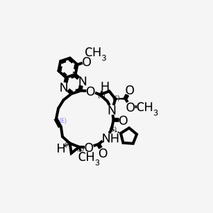 COC(=O)[C@@H]1C[C@@H]2CN1C(=O)[C@H](C1CCCC1)NC(=O)O[C@]1(C)C[C@H]1C/C=C/CCc1nc3cccc(OC)c3nc1O2